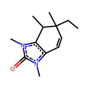 CCC1(C)C=Cc2c(n(C)c(=O)n2C)C1C